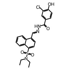 CCN(CC)S(=O)(=O)c1ccc(C=NNC(=O)c2ccc(O)c(Cl)c2)c2ccccc12